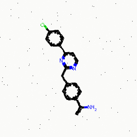 C=C(N)c1ccc(Cc2nccc(-c3ccc(Cl)cc3)n2)cc1